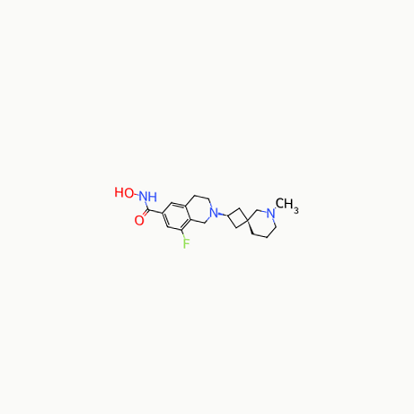 CN1CCC[C@]2(C1)C[C@H](N1CCc3cc(C(=O)NO)cc(F)c3C1)C2